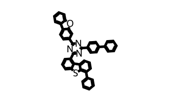 c1ccc(-c2ccc(-c3nc(-c4ccc5c(c4)oc4ccccc45)nc(-c4cccc5sc6c(-c7ccccc7)cccc6c45)n3)cc2)cc1